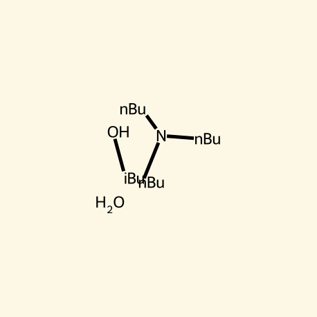 CCC(C)O.CCCCN(CCCC)CCCC.O